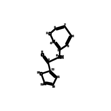 O=C(NC1=NOC=CC=C1)c1ccno1